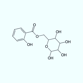 O=C(OCC1OC(O)C(O)C(O)C1O)c1ccccc1O